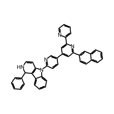 C1=Cc2c(c3ccccc3n2-c2ccc(-c3cc(-c4ccc5ccccc5c4)nc(-c4ccccn4)c3)cn2)C(c2ccccc2)N1